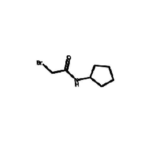 O=C(CBr)NC1CCCC1